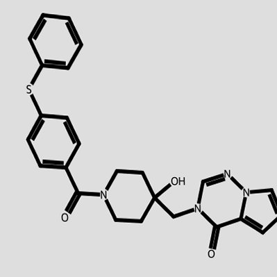 O=C(c1ccc(Sc2ccccc2)cc1)N1CCC(O)(Cn2cnn3cccc3c2=O)CC1